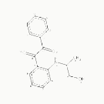 CC(CO)Nc1ccccc1C(=O)C(=O)c1ccccc1